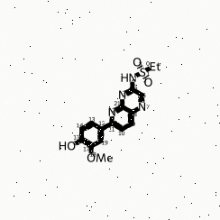 CCS(=O)(=O)Nc1cnc2ccc(-c3ccc(O)c(OC)c3)nc2n1